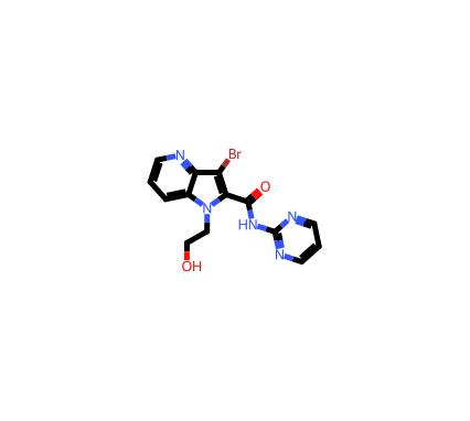 O=C(Nc1ncccn1)c1c(Br)c2ncccc2n1CCO